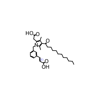 CCCCCCCCCCCC(=O)c1c(C)c(CC(=O)O)n(Cc2cccc(/C=C/C(=O)O)c2)c1C